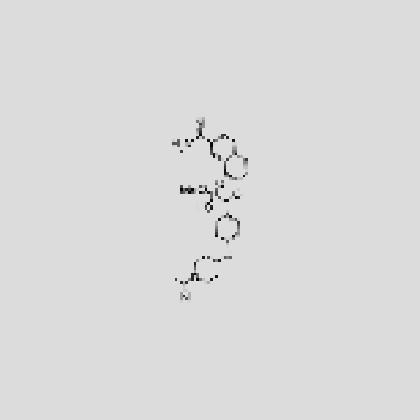 COP(=O)(O)C(Oc1ccc2ccc(C(=N)N)cc2c1)c1ccc(OC2CCN(C(C)=N)CC2)cc1